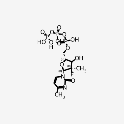 Cc1ccn([C@@H]2O[C@H](COP(=O)(O)OP(=O)(O)OP(=O)(O)O)C(O)[C@@]2(C)F)c(=O)n1